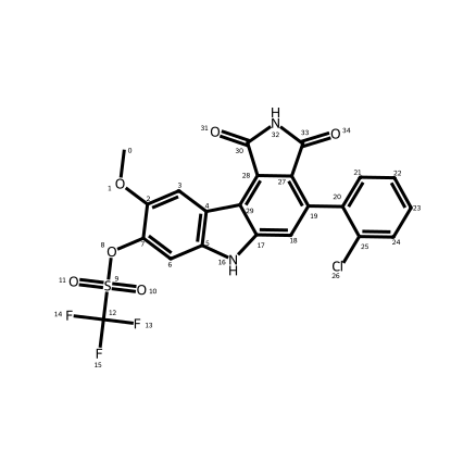 COc1cc2c(cc1OS(=O)(=O)C(F)(F)F)[nH]c1cc(-c3ccccc3Cl)c3c(c12)C(=O)NC3=O